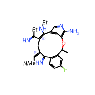 CCN/C1=C(\C(=N)CC)C/C(=C/NC)C(=N)c2ccc(F)cc2C(C)Oc2cc1cnc2N